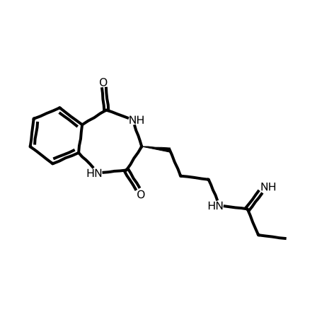 CCC(=N)NCCC[C@@H]1NC(=O)c2ccccc2NC1=O